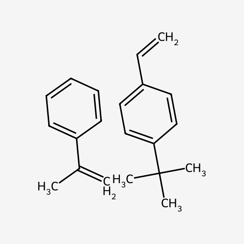 C=C(C)c1ccccc1.C=Cc1ccc(C(C)(C)C)cc1